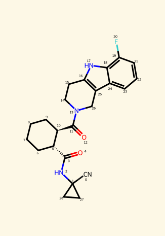 N#CC1(NC(=O)[C@@H]2CCCC[C@H]2C(=O)N2CCc3[nH]c4c(F)cccc4c3C2)CC1